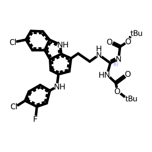 CC(C)(C)OC(=O)/N=C(\NCCc1cc(Nc2ccc(Cl)c(F)c2)cc2c1[nH]c1ccc(Cl)cc12)NC(=O)OC(C)(C)C